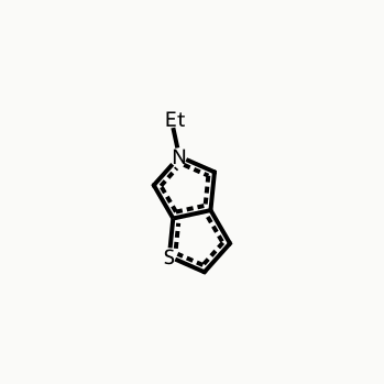 CCn1cc2ccsc2c1